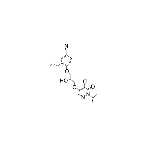 CCCc1cc(C#N)ccc1OCC(O)COc1cnn(C(C)C)c(=O)c1Cl